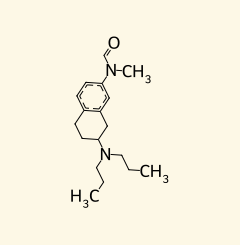 CCCN(CCC)C1CCc2ccc(N(C)C=O)cc2C1